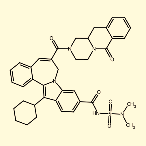 CN(C)S(=O)(=O)NC(=O)c1ccc2c(C3CCCCC3)c3n(c2c1)CC(C(=O)N1CCN2C(=O)c4ccccc4CC2C1)=Cc1ccccc1-3